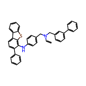 C=CN(Cc1ccc(Nc2c(-c3ccccc3)ccc3c2sc2ccccc23)cc1)Cc1cccc(-c2ccccc2)c1